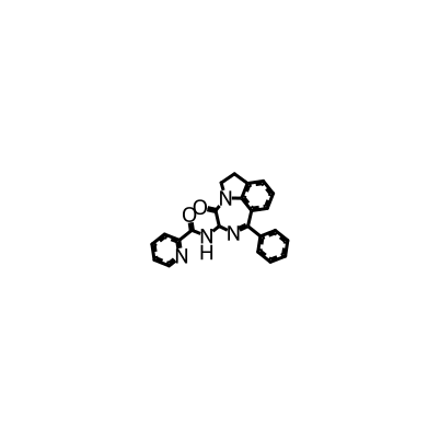 O=C(NC1N=C(c2ccccc2)c2cccc3c2N(CC3)C1=O)c1ccccn1